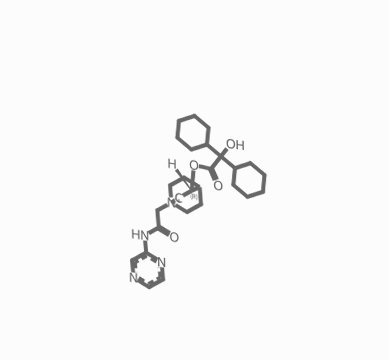 O=C(C[N+]12CCC(CC1)[C@@H](OC(=O)C(O)(C1CCCCC1)C1CCCCC1)C2)Nc1cnccn1